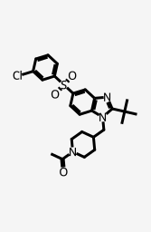 CC(=O)N1CCC(Cn2c(C(C)(C)C)nc3cc(S(=O)(=O)c4cccc(Cl)c4)ccc32)CC1